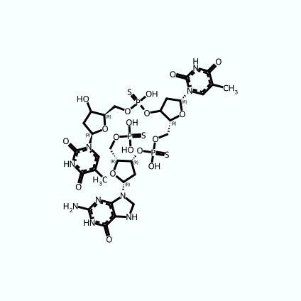 Cc1cn([C@H]2CC(O)[C@@H](COP(O)(=S)OC3C[C@H](n4cc(C)c(=O)[nH]c4=O)O[C@@H]3COP(O)(=S)O[C@@H]3C[C@H](N4CNc5c4nc(N)[nH]c5=O)O[C@@H]3COP(O)(O)=S)O2)c(=O)[nH]c1=O